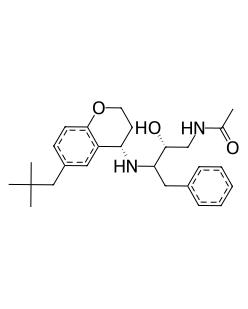 CC(=O)NC[C@@H](O)C(Cc1ccccc1)N[C@H]1CCOc2ccc(CC(C)(C)C)cc21